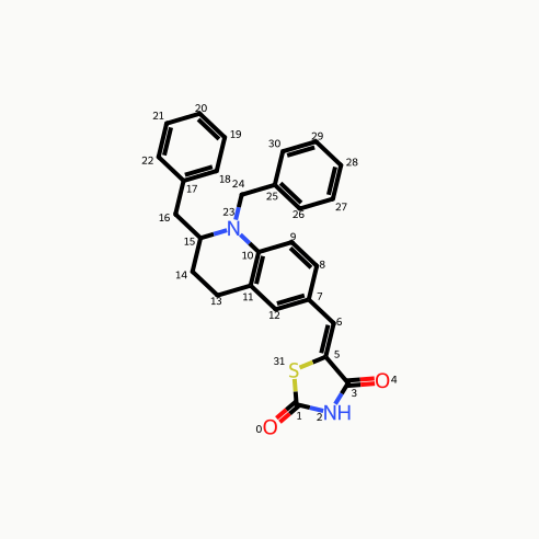 O=C1NC(=O)C(=Cc2ccc3c(c2)CCC(Cc2ccccc2)N3Cc2ccccc2)S1